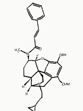 COc1cc(OC(C)=O)c2c3c1O[C@H]1[C@H](N(C)C(=O)C=Cc4ccccc4)CC[C@H]4[C@@H](C2)N(CC2CC2)CC[C@@]341